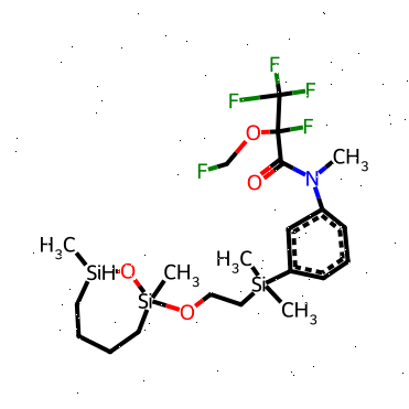 CN(C(=O)C(F)(OCF)C(F)(F)F)c1cccc([Si](C)(C)CCO[Si]2(C)CCCC[SiH](C)O2)c1